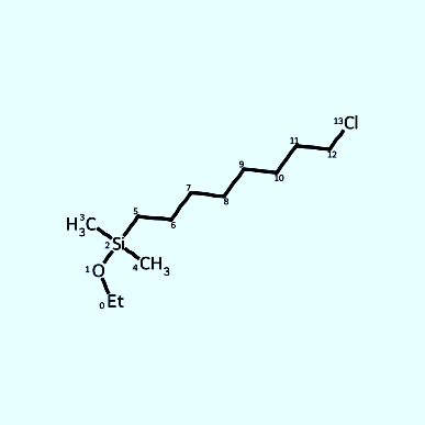 CCO[Si](C)(C)CCCCCCCCCl